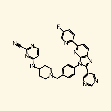 N#Cc1nccc(NC2CCN(Cc3ccc(-n4c(-c5cncnc5)nc5ccc(-c6ccc(F)cn6)nc54)cc3)CC2)n1